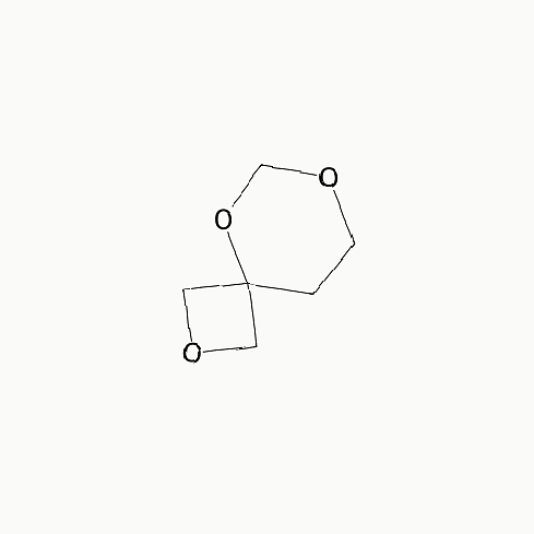 C1CC2(COC2)OCO1